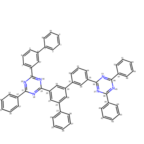 c1ccc(-c2cccc(-c3nc(-c4ccccc4)nc(-c4cc(-c5ccccc5)cc(-c5cccc(-c6nc(-c7ccccc7)nc(-c7ccccc7)n6)c5)c4)n3)c2)cc1